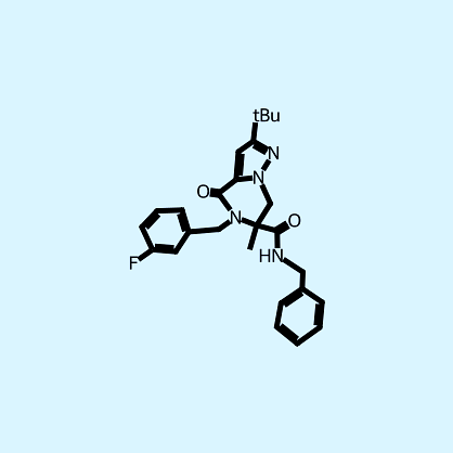 CC(C)(C)c1cc2n(n1)CC(C)(C(=O)NCc1ccccc1)N(Cc1cccc(F)c1)C2=O